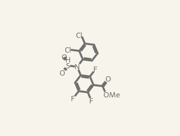 COC(=O)c1c(F)c(F)cc(N(c2cccc(Cl)c2Cl)[SH](=O)=O)c1F